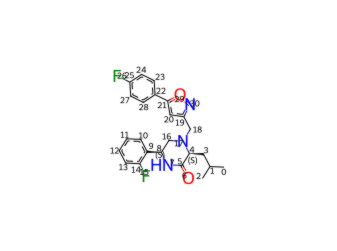 CC(C)C[C@H]1C(=O)N[C@@H](c2ccccc2F)CN1Cc1cc(-c2ccc(F)cc2)on1